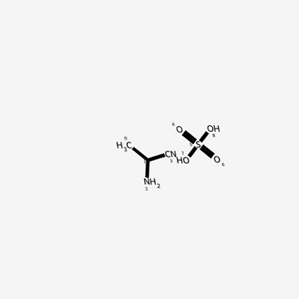 CC(N)C#N.O=S(=O)(O)O